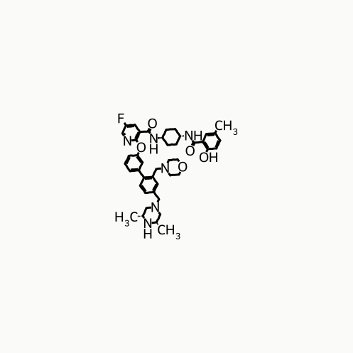 Cc1ccc(O)c(C(=O)N[C@H]2CC[C@H](NC(=O)c3cc(F)cnc3Oc3cccc(-c4ccc(CN5C[C@@H](C)N[C@@H](C)C5)cc4CN4CCOCC4)c3)CC2)c1